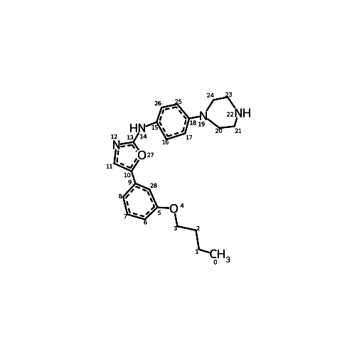 CCCCOc1cccc(-c2cnc(Nc3ccc(N4CCNCC4)cc3)o2)c1